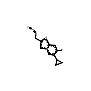 [N-]=[N+]=NCc1cn2cc(C3CC3)c(F)cc2n1